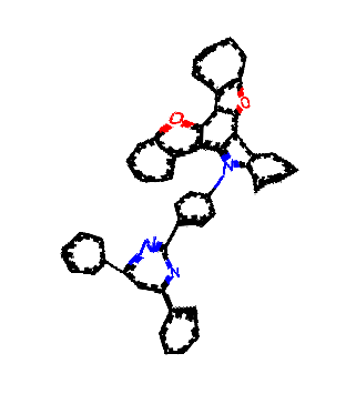 c1ccc(-c2cc(-c3ccccc3)nc(-c3ccc(-n4c5ccccc5c5c6oc7ccccc7c6c6oc7ccccc7c6c54)cc3)n2)cc1